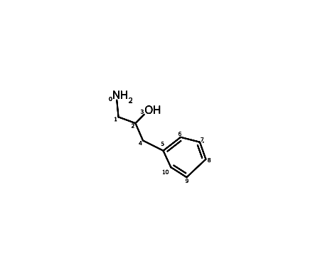 NCC(O)Cc1c[c]ccc1